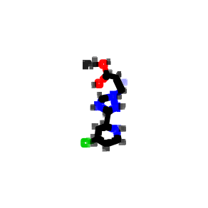 CC(C)OC(=O)/C=C\n1cnc(-c2cc(Cl)ccn2)n1